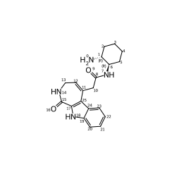 N[C@@H]1CCCC[C@H]1NC(=O)CC1=CCNC(=O)c2[nH]c3ccccc3c21